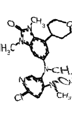 CN(C)c1cc(Cl)ncc1N(C)c1cc(C2CCOCC2)c2c(c1)n(C)c(=O)n2C